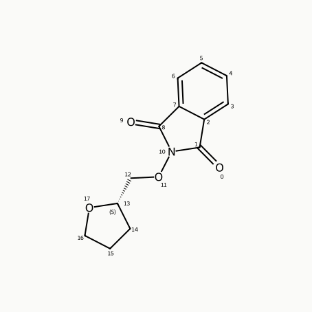 O=C1c2ccccc2C(=O)N1OC[C@@H]1CCCO1